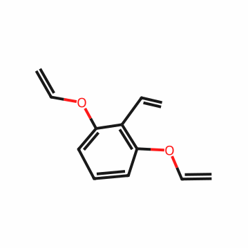 C=COc1cccc(OC=C)c1C=C